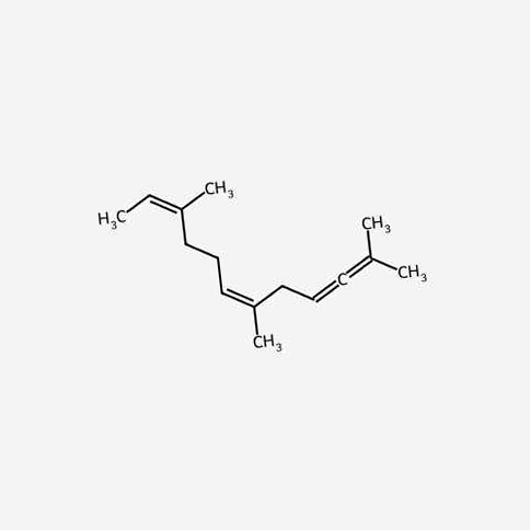 CC=C(C)CCC=C(C)CC=C=C(C)C